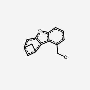 [O]Cc1cccc2oc3cc4cc(c3c12)C4